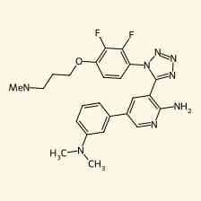 CNCCCOc1ccc(-n2nnnc2-c2cc(-c3cccc(N(C)C)c3)cnc2N)c(F)c1F